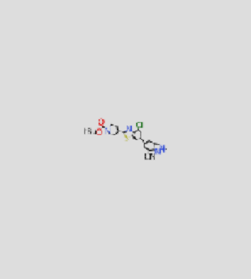 Cn1cc2cc(-c3cc(Cl)c4nc(C5=CCN(C(=O)OC(C)(C)C)CC5)sc4c3)cc(C#N)c2n1